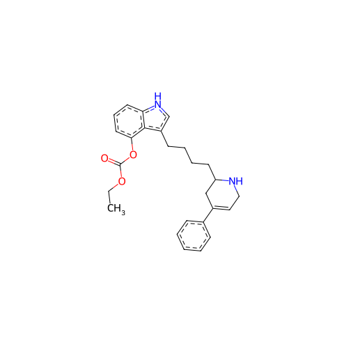 CCOC(=O)Oc1cccc2[nH]cc(CCCCC3CC(c4ccccc4)=CCN3)c12